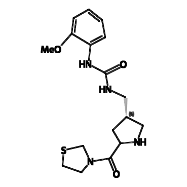 COc1ccccc1NC(=O)NC[C@@H]1CNC(C(=O)N2CCSC2)C1